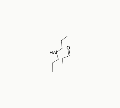 CCC=O.CC[CH2][AlH][CH2]CC